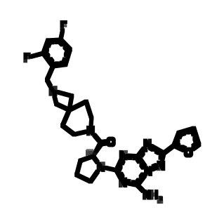 Nc1nc(N2CCC[C@H]2C(=O)N2CCC3(CC2)CN(Cc2ccc(F)cc2F)C3)nc2nc(-c3ccco3)nn12